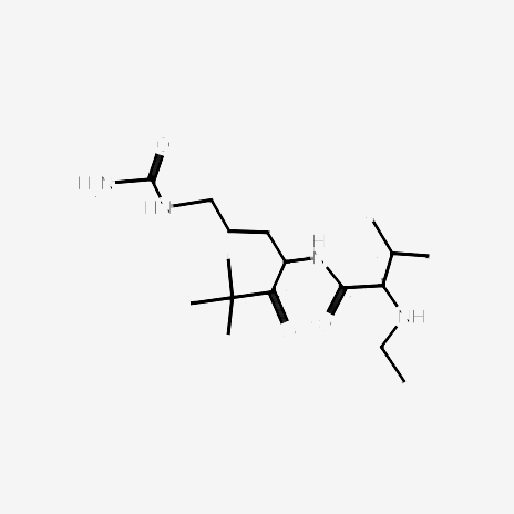 CCNC(C(=O)NC(CCCNC(N)=O)C(=O)C(C)(C)C)C(C)C